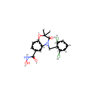 CC1(C)Oc2ccc(C(=O)NO)cc2N(Cc2c(Cl)cccc2Cl)C1=O